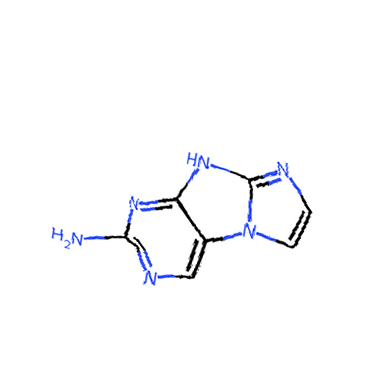 Nc1ncc2c(n1)[nH]c1nccn12